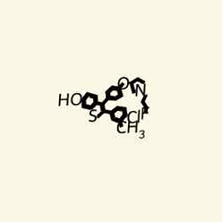 Cc1cc(C2=C(c3ccc(O[C@H]4CCN(CCCF)C4)cc3)c3ccc(O)cc3SC2)ccc1Cl